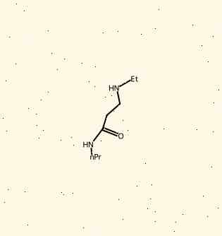 CCCNC(=O)CCNCC